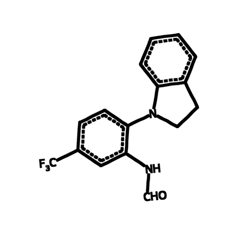 O=CNc1cc(C(F)(F)F)ccc1N1CCc2ccccc21